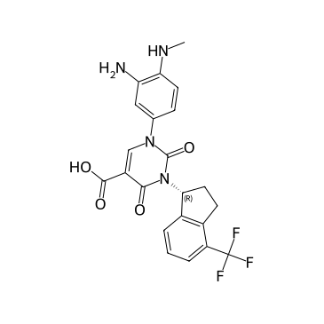 CNc1ccc(-n2cc(C(=O)O)c(=O)n([C@@H]3CCc4c3cccc4C(F)(F)F)c2=O)cc1N